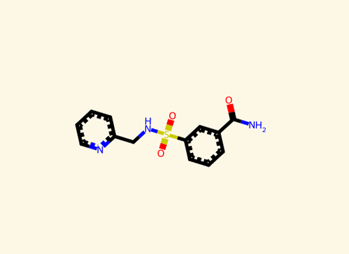 NC(=O)c1cccc(S(=O)(=O)NCc2ccccn2)c1